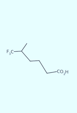 CC(CCCC(=O)O)C(F)(F)F